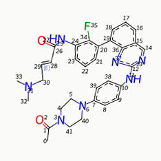 CC(=O)N1CCN(c2ccc(Nc3ncc4cccc(-c5cccc(NC(=O)/C=C/CN(C)C)c5F)c4n3)cc2)CC1